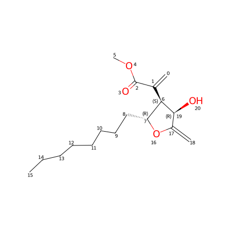 C=C(C(=O)OC)[C@@H]1[C@@H](CCCCCCCC)OC(=C)[C@@H]1O